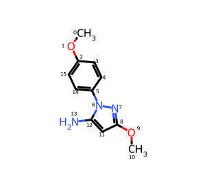 COc1ccc(-n2nc(OC)cc2N)cc1